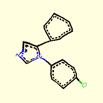 Clc1ccc(-n2cncc2-c2ccccc2)cc1